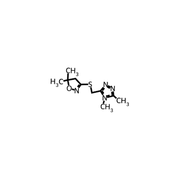 Cc1nnc(CSC2=NOC(C)(C)C2)n1C